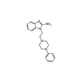 Nc1nc2ccccc2n1CCN1CCN(c2ccccc2)CC1